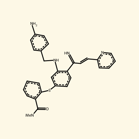 CNC(=O)c1ccccc1Sc1ccc(C(=N)/C=C/c2ccccn2)c(NCc2ccc(N)cc2)c1